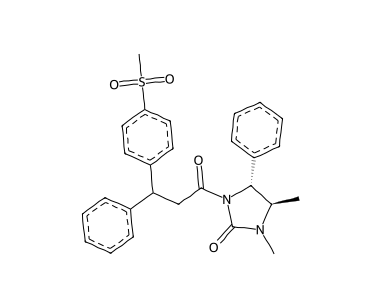 C[C@@H]1[C@@H](c2ccccc2)N(C(=O)CC(c2ccccc2)c2ccc(S(C)(=O)=O)cc2)C(=O)N1C